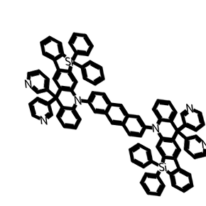 c1ccc([Si]2(c3ccccc3)c3ccccc3-c3cc4c(cc32)N(c2ccc3cc5cc(N6c7ccccc7C(c7cccnc7)(c7cccnc7)c7cc8c(cc76)[Si](c6ccccc6)(c6ccccc6)c6ccccc6-8)ccc5cc3c2)c2ccccc2C4(c2cccnc2)c2cccnc2)cc1